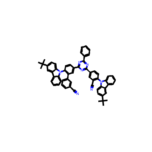 CC(C)(C)c1ccc2c(c1)c1ccccc1n2-c1ccc(-c2nc(-c3ccccc3)nc(-c3ccc(-n4c5ccccc5c5cc(C(C)(C)C)ccc54)c(-c4cccc(C#N)c4)c3)n2)cc1C#N